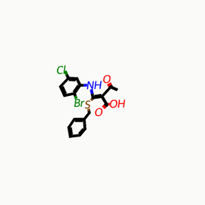 CC(=O)/C(C(=O)O)=C(\Nc1cc(Cl)ccc1Br)SCc1ccccc1